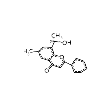 Cc1cc([C@H](C)O)c2oc(-c3ccccc3)cc(=O)c2c1